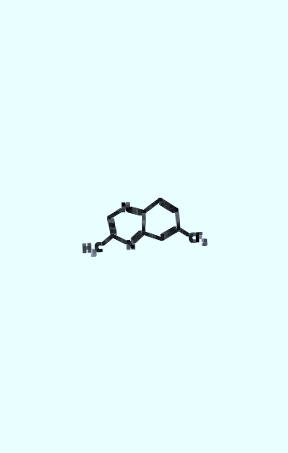 Cc1cnc2ccc(C(F)(F)F)cc2n1